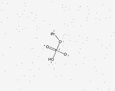 CC(C)OP([O])(=O)O